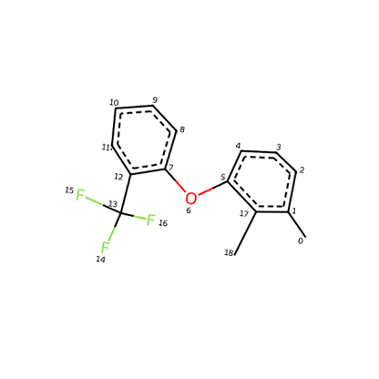 Cc1cccc(Oc2ccc[c]c2C(F)(F)F)c1C